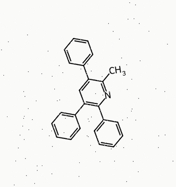 Cc1nc(-c2ccccc2)c(-c2ccccc2)cc1-c1ccccc1